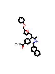 COC(=O)c1ccc(C(Cc2ccc(COc3ccccc3)o2)C(C)NCc2ccc3ccccc3c2)cc1